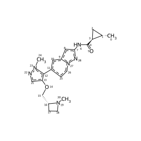 C[C@H]1C[C@@H]1C(=O)Nc1cc2cc(-c3c(OC[C@H]4CCN4C)cnn3C)ccn2n1